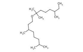 CCC(C)CCCC(C)(C)OCCC(C)CCCC(C)C